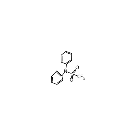 O=S(=O)(N(c1ccccc1)c1ccccc1)C(F)(F)F